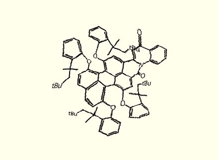 CC(C)(C)CC(C)(C)c1ccccc1Oc1ccc2ccc(Oc3ccccc3C(C)(C)CC(C)(C)C)c3c4c(Oc5ccccc5C(C)(C)CC(C)(C)C)cc5c6c(cc(Oc7ccccc7C(C)(C)CC(C)(C)C)c(c1c23)c46)c(=O)n1c2ccccc2c(=O)cc51